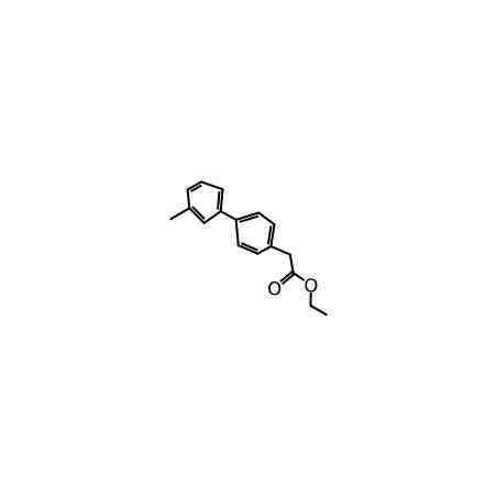 CCOC(=O)Cc1ccc(-c2cccc(C)c2)cc1